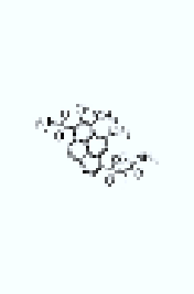 Cc1c(S(N)(=O)=O)c2ccc3ccc(S(=O)(=O)NS(N)(=O)=O)c4cc(C)c(c1C)c2c34